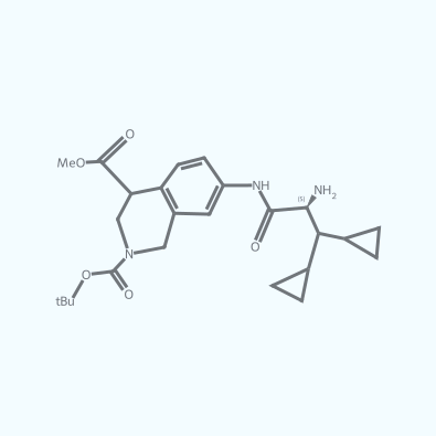 COC(=O)C1CN(C(=O)OC(C)(C)C)Cc2cc(NC(=O)[C@@H](N)C(C3CC3)C3CC3)ccc21